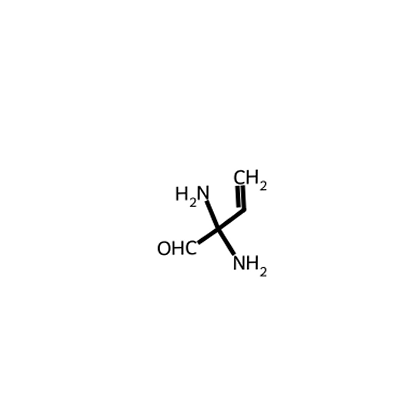 C=CC(N)(N)C=O